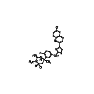 CN1C(=N)N[C@](C)(c2cc(Nc3nc(-c4ccc5cc(Cl)ccc5n4)cs3)ccc2F)CS1(=O)=O